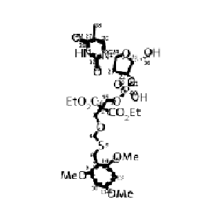 CCOC(=O)C(COCSCc1c(OC)cc(OC)cc1OC)(COP(=O)(O)OC1C[C@H](n2cc(C)c(=O)[nH]c2=O)O[C@@H]1CO)C(=O)OCC